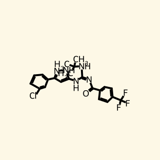 CC(C)(C)N/C(=N/C(=O)c1ccc(C(F)(F)F)cc1)Nc1cc(-c2cccc(Cl)c2)n[nH]1